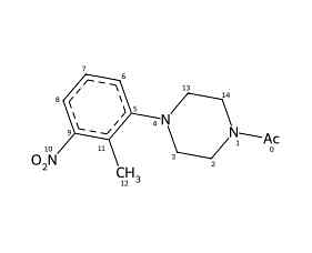 CC(=O)N1CCN(c2cccc([N+](=O)[O-])c2C)CC1